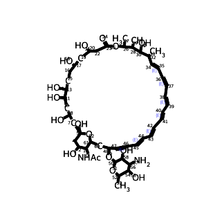 CC(=O)NC1C(O)CC2(O)CC(O)CC(O)C(O)CCC(O)CC(O)CC(=O)OC(C)C(C)C(O)C(C)/C=C/C=C/C=C/C=C/C=C/C=C/C=C/C(OC3OC(C)C(O)C(N)C3O)CC1O2